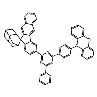 c1ccc(-c2nc(-c3ccc(N4c5ccccc5Oc5ccccc54)cc3)nc(-c3ccc4c(c3)-c3cc5ccccc5cc3C43C4CC5CC(C4)CC3C5)n2)cc1